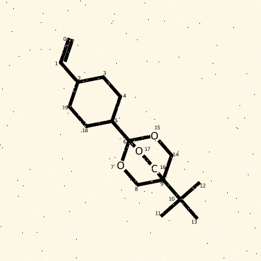 C=CC1CCC(C23OCC(C(C)(C)C)(CO2)CO3)CC1